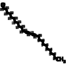 CCCCCCCCCCCC#CC#CCCCCCCCCCCC=O